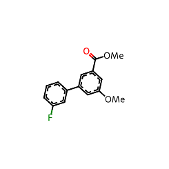 COC(=O)c1cc(OC)cc(-c2cccc(F)c2)c1